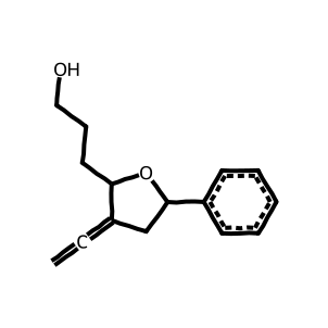 C=C=C1CC(c2ccccc2)OC1CCCO